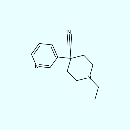 CCN1CCC(C#N)(c2cccnc2)CC1